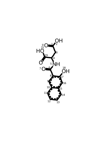 O=C(O)CC(NC(=O)c1cc2ccccc2cc1O)C(=O)O